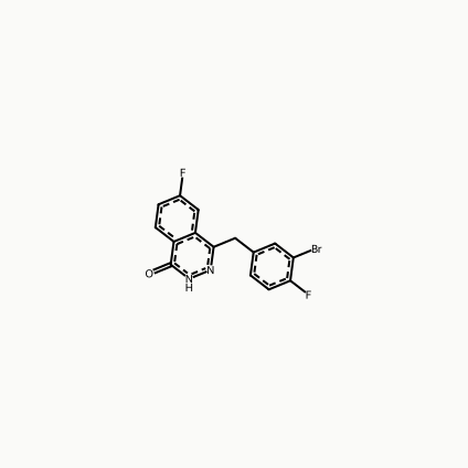 O=c1[nH]nc(Cc2ccc(F)c(Br)c2)c2cc(F)ccc12